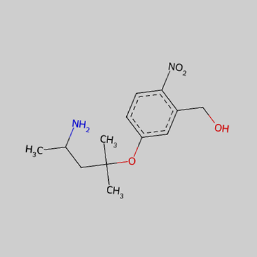 CC(N)CC(C)(C)Oc1ccc([N+](=O)[O-])c(CO)c1